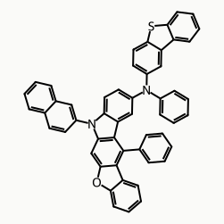 c1ccc(-c2c3c(cc4c2c2cc(N(c5ccccc5)c5ccc6sc7ccccc7c6c5)ccc2n4-c2ccc4ccccc4c2)oc2ccccc23)cc1